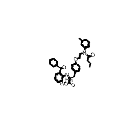 CCCC(=O)N(CCOc1ccc(C[C@H](Nc2ccccc2C(=O)c2ccccc2)C(=O)O)cc1)c1cccc(C)c1